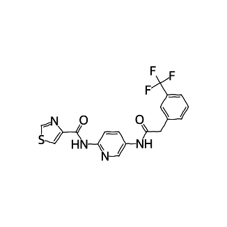 O=C(Cc1cccc(C(F)(F)F)c1)Nc1ccc(NC(=O)c2cscn2)nc1